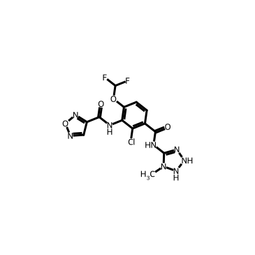 CN1NNN=C1NC(=O)c1ccc(OC(F)F)c(NC(=O)c2cnon2)c1Cl